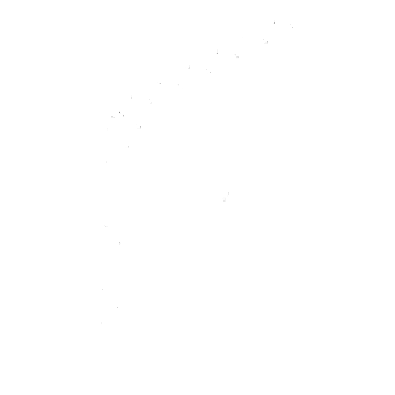 CCCCCCCCCCCCCCCC[N+](C)(C)CCCCCCCCCCCC.[Br-]